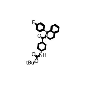 CC(C)(C)OC(=O)N[C@H]1CC[C@@H](C(=O)N2CCc3ccccc3[C@@H]2c2ccc(F)cc2)CC1